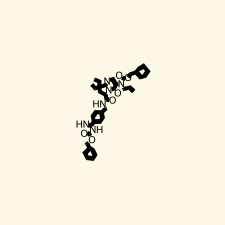 C=CCN(C(=O)OCc1ccccc1)c1cnc2n(c1=O)C(C(=O)NCc1ccc(C(=N)NC(=O)OCc3ccccc3)cc1)CC2(CC)CC